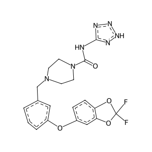 O=C(Nc1nn[nH]n1)N1CCN(Cc2cccc(Oc3ccc4c(c3)OC(F)(F)O4)c2)CC1